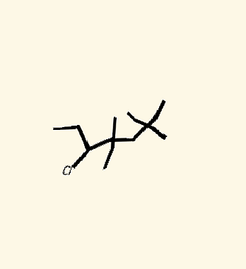 CCC(Cl)C(C)(C)CC(C)(C)C